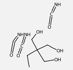 CCC(CO)(CO)CO.N=C=O.N=C=O.N=C=O